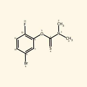 CN(C)C(=S)Oc1cc(Br)ccc1F